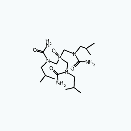 CC(C)CN(CP(=O)(CN(CC(C)C)C(N)=O)CN(CC(C)C)C(N)=O)C(N)=O